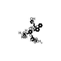 CC(CO)(CO)NCc1cc(Cl)c(OCC2(OCCCN3CCC(O)C3)C=CC=C(c3ccccc3)[C@@]2(C)Cl)cc1OCc1cncc(S(C)(=O)=O)c1